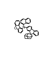 c1ccc2c(c1)-c1ccc(N(c3cccc4ccccc34)c3cccc4oc5ccccc5c34)cc1C21C2CC3CC(C2)CC1C3